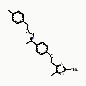 C/C(=N\OCc1ccc(C)cc1)c1ccc(OCc2nc(C(C)(C)C)oc2C)cc1